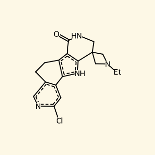 CCN1CC2(CNC(=O)c3c2[nH]c2c3CCc3cnc(Cl)cc3-2)C1